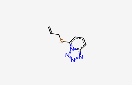 C=CCSc1cccc2nnnn12